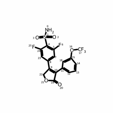 NS(=O)(=O)c1c(F)cc(C2=C(c3cccc(OC(F)(F)F)c3)C(=O)OC2)cc1F